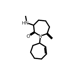 C=C1CCCC(NC)C(=O)N1C1C=CCCCC1